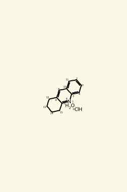 Cl.O.c1ccc2nc3c(cc2c1)CCCC3